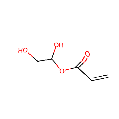 C=CC(=O)OC(O)CO